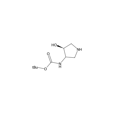 CC(C)(C)OC(=O)NC1CNC[C@@H]1O